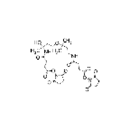 CC(O)(CCOC(C)(C)CCNC(=O)CCC(=O)ON1C(=O)CCC1=O)NC(=O)CCC(=O)ON1C(=O)CCC1=O